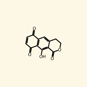 O=C1C=CC(=O)c2c1cc1c(c2O)C(=O)OCC1